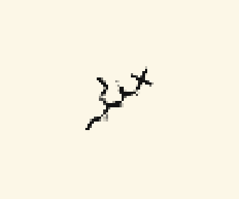 CCNC(=NC(=O)OC(C)(C)C)SCC